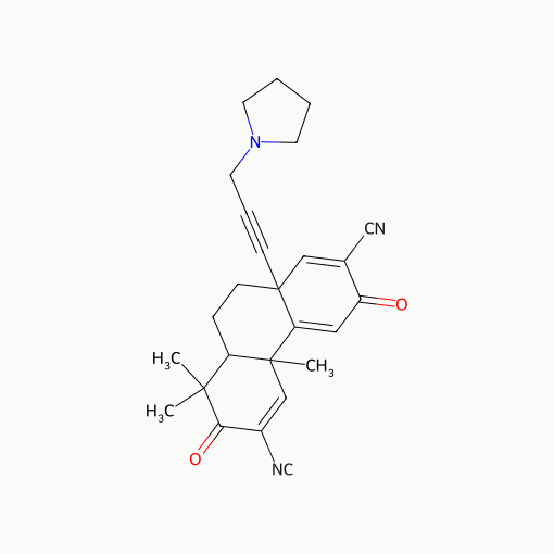 [C-]#[N+]C1=CC2(C)C3=CC(=O)C(C#N)=CC3(C#CCN3CCCC3)CCC2C(C)(C)C1=O